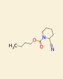 CCCCOC(=O)N1CCCCC1C#N